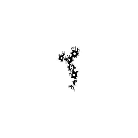 Cc1cc(OCCN(C)C)cnc1N1CCN(c2cc(-c3ccc(F)c(Cl)c3)nc(N3CCCC3C)n2)CC1